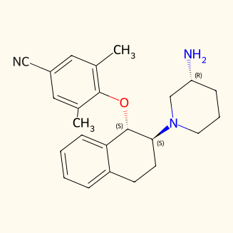 Cc1cc(C#N)cc(C)c1O[C@H]1c2ccccc2CC[C@@H]1N1CCC[C@@H](N)C1